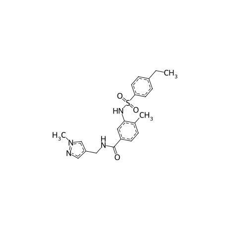 CCc1ccc(S(=O)(=O)Nc2cc(C(=O)NCc3cnn(C)c3)ccc2C)cc1